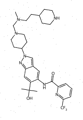 CN(CCC1CCNCC1)CN1CCC(n2cc3cc(NC(=O)c4cccc(C(F)(F)F)n4)c(C(C)(C)O)cc3n2)CC1